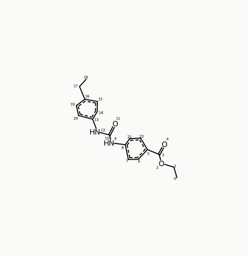 CCOC(=O)c1ccc(NC(=O)Nc2ccc(CC)cc2)cc1